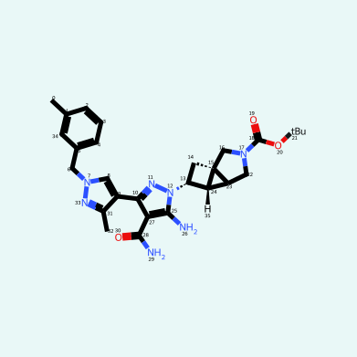 Cc1cccc(Cn2cc(-c3nn([C@@H]4C[C@]56CN(C(=O)OC(C)(C)C)CC5[C@H]46)c(N)c3C(N)=O)c(C)n2)c1